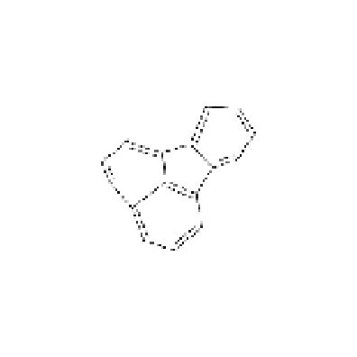 [c]1ccc2cc[c]c3c2c1-c1ccccc1-3